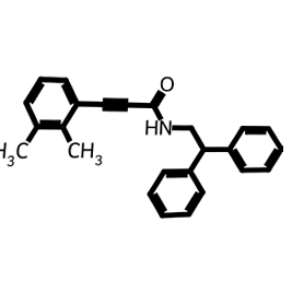 Cc1cccc(C#CC(=O)NCC(c2ccccc2)c2ccccc2)c1C